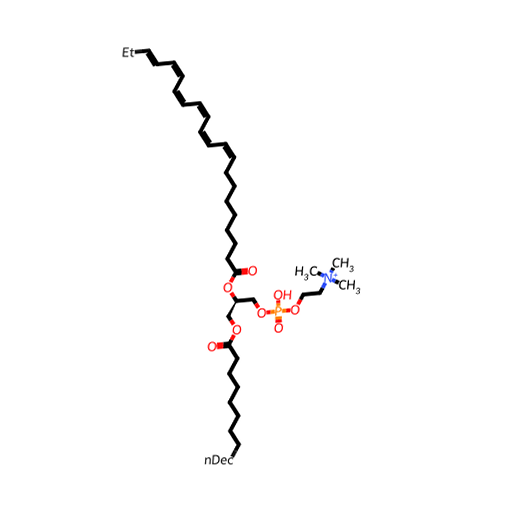 CC/C=C/C=C\C=C/C=C\C=C/C=C\CCCCCCCC(=O)O[C@H](COC(=O)CCCCCCCCCCCCCCCCC)COP(=O)(O)OCC[N+](C)(C)C